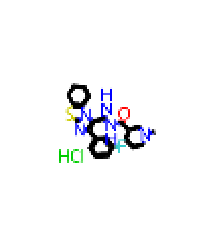 CN1CCCC(C(=O)NC(=N)c2c(-c3cccc(F)c3)nc3sc4c(n23)CCCC4)C1.Cl